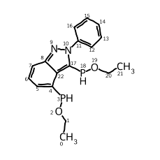 CCOPc1cccc2nn(-c3ccccc3)c(POCC)c12